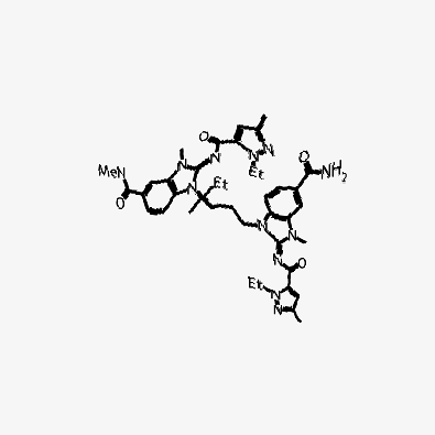 CCn1nc(C)cc1C(=O)/N=c1\n(C)c2cc(C(N)=O)ccc2n1CCCC(C)(CC)n1/c(=N/C(=O)c2cc(C)nn2CC)n(C)c2cc(C(=O)NC)ccc21